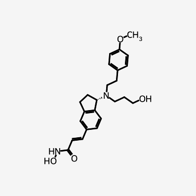 COc1ccc(CCN(CCCO)[C@H]2CCc3cc(C=CC(=O)NO)ccc32)cc1